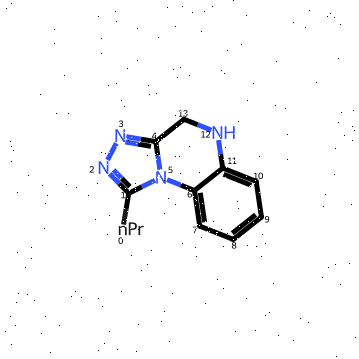 CCCc1nnc2n1-c1ccccc1NC2